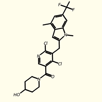 Cc1cc(C(F)(F)F)cc2c1cc(Cc1c(Cl)ncc(C(=O)N3CCC(O)CC3)c1Cl)n2C